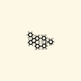 c1ccc(-c2c3ccccc3c(-c3cccc(-c4cccc(P(c5ccccc5)c5ccccc5)c4)c3)c3ccccc23)cc1